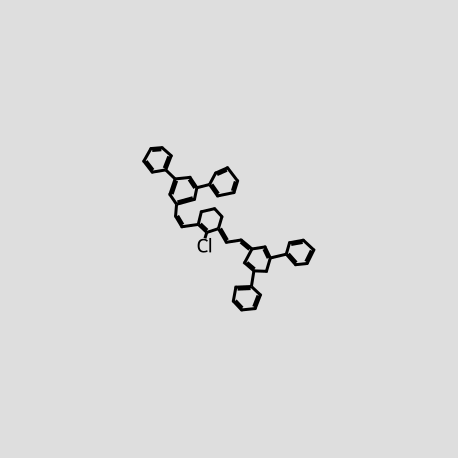 ClC1=C(/C=C\c2cc(-c3ccccc3)cc(-c3ccccc3)c2)CCC/C1=C\C=C1C=C(c2ccccc2)CC(c2ccccc2)=C1